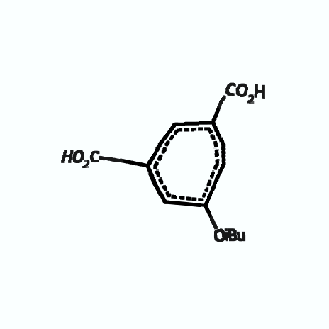 CC(C)COc1cc(C(=O)O)cc(C(=O)O)c1